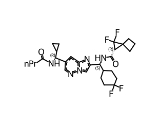 CCCC(=O)N[C@@H](c1cnn2cc([C@@H](NC(=O)[C@@H]3C(F)(F)C34CCC4)C3CCC(F)(F)CC3)nc2c1)C1CC1